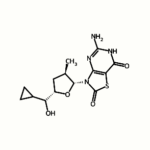 C[C@@H]1C[C@@H](C(O)C2CC2)O[C@H]1n1c(=O)sc2c(=O)[nH]c(N)nc21